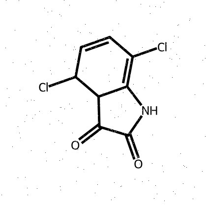 O=C1NC2=C(Cl)C=CC(Cl)C2C1=O